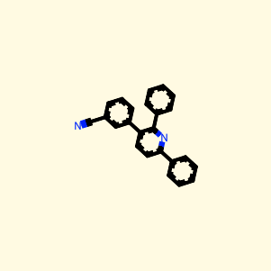 N#Cc1cccc(-c2ccc(-c3ccccc3)nc2-c2ccccc2)c1